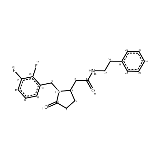 O=C(CC1CCC(=O)N1Cc1cccc(F)c1F)NCCc1ccccc1